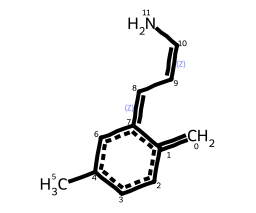 C=c1ccc(C)c/c1=C/C=C\N